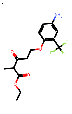 CCOC(=O)C(C)C(=O)CCOc1ccc(N)cc1C(F)(F)F